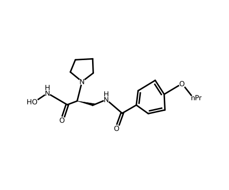 CCCOc1ccc(C(=O)NC[C@@H](C(=O)NO)N2CCCC2)cc1